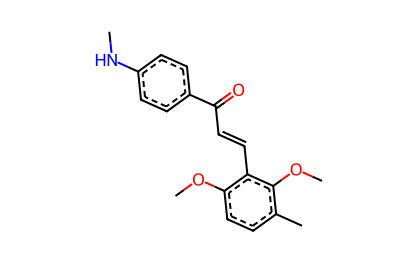 CNc1ccc(C(=O)/C=C/c2c(OC)ccc(C)c2OC)cc1